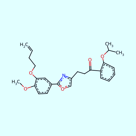 C=CCCOc1cc(-c2nc(CCC(=O)c3ccccc3OC(C)C)co2)ccc1OC